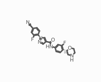 N#Cc1ccc(-n2cc(C(=O)Nc3ccc([C@H]4CNCCO4)c(F)c3)cn2)c(F)c1